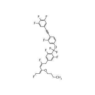 CCCCOC(/C=C(/F)Cc1cc(F)c(C(F)(F)Oc2ccc(C#Cc3cc(F)c(F)c(F)c3)c(F)c2)c(F)c1)=C/CF